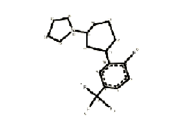 Fc1ccc(C(F)(F)F)cc1C1CCCC(N2CCCC2)C1